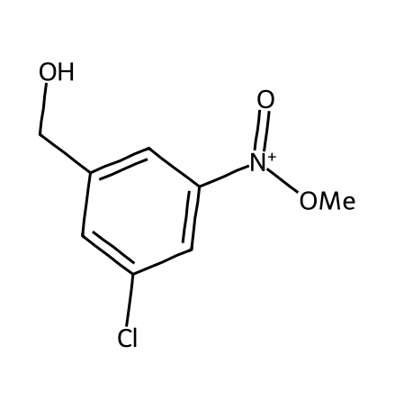 CO[N+](=O)c1cc(Cl)cc(CO)c1